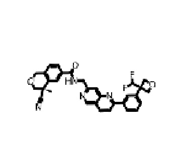 C[C@@]1(C#N)COCc2ccc(C(=O)NCc3cc4nc(-c5cccc(C6(C(F)F)COC6)c5)ccc4cn3)cc21